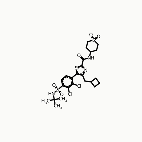 CC(C)(C)NS(=O)(=O)c1ccc(-c2sc(C(=O)NC3CCS(=O)(=O)CC3)nc2CC2CCC2)c(Cl)c1Cl